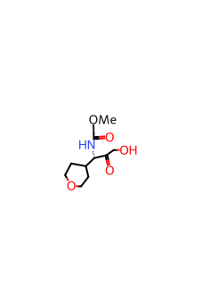 COC(=O)N[C@H](C(=O)CO)C1CCOCC1